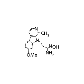 COc1ccc2c3ccnc(C)c3n(CCC(N)=NO)c2c1